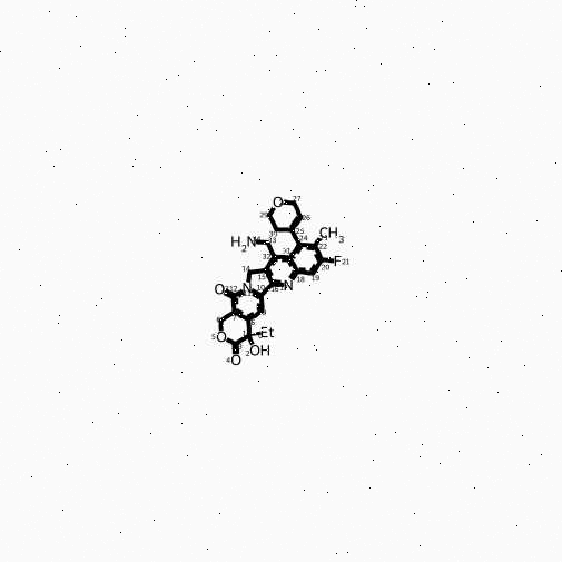 CC[C@@]1(O)C(=O)OCc2c1cc1n(c2=O)Cc2c-1nc1cc(F)c(C)c(C3=CCOCC3)c1c2CN